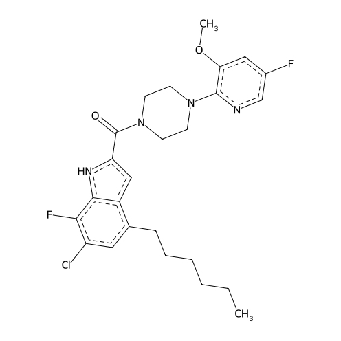 CCCCCCc1cc(Cl)c(F)c2[nH]c(C(=O)N3CCN(c4ncc(F)cc4OC)CC3)cc12